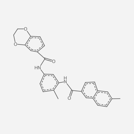 Cc1ccc2cc(C(=O)Nc3cc(NC(=O)c4ccc5c(c4)OCCO5)ccc3C)ccc2c1